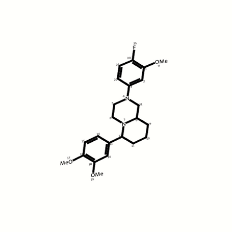 COc1cc(N2CCN3C(CCCC3c3ccc(OC)c(OC)c3)C2)ccc1F